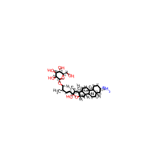 C[C@H](CC[C@@]1(O)O[C@H]2C[C@H]3[C@@H]4CC[C@H]5C[C@@H](N)CC[C@]5(C)[C@H]4CC[C@]3(C)[C@H]2[C@@H]1C)CO[C@@H]1O[C@H](CO)[C@@H](O)C(O)C1O